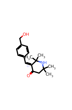 CC1(C)CC(=O)/C(=C/c2ccc(CO)cc2)C(C)(C)N1